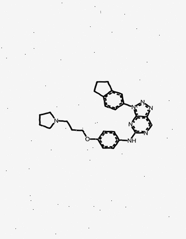 c1cc(OCCCN2CCCC2)ccc1Nc1ncc2nnn(-c3ccc4c(c3)CCC4)c2n1